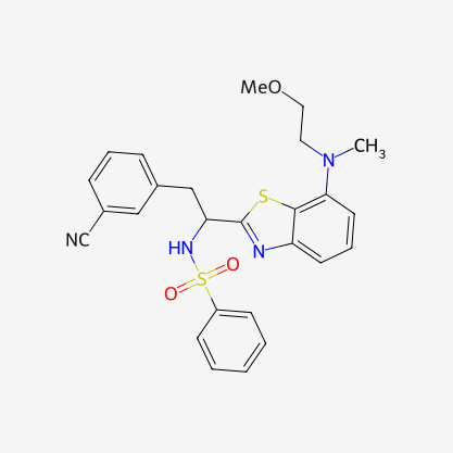 COCCN(C)c1cccc2nc(C(Cc3cccc(C#N)c3)NS(=O)(=O)c3ccccc3)sc12